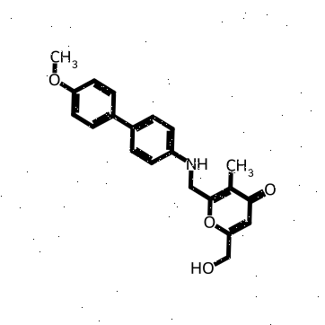 COc1ccc(-c2ccc(NCc3oc(CO)cc(=O)c3C)cc2)cc1